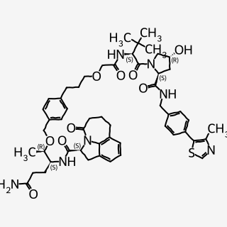 Cc1ncsc1-c1ccc(CNC(=O)[C@@H]2C[C@@H](O)CN2C(=O)[C@@H](NC(=O)COCCCc2ccc(CO[C@H](C)[C@H](CCC(N)=O)NC(=O)[C@@H]3Cc4cccc5c4N3C(=O)CCC5)cc2)C(C)(C)C)cc1